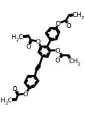 C=CC(=O)Oc1ccc(C#Cc2cc(OC(=O)C=C)c(-c3ccc(OC(=O)C=C)cc3)c(OC(=O)C=C)c2)cc1